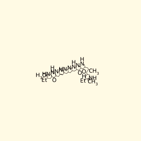 CCC1CC(CC(C)CC2CNC3=NC4NC5=NC6Nc7nc8c(cc7CC6CC5CC4C(=O)C3C2O)Cc2c([nH]c3c(c2=O)CC(CC)[C@@H](C)N3)N8)CN[C@H]1C